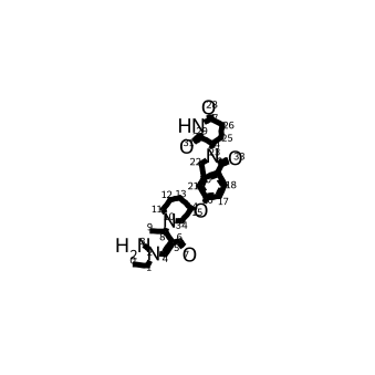 CCN(N)/C=C(/C=O)C(C)N1CCC[C@@H](Oc2ccc3c(c2)CN(C2CCC(=O)NC2=O)C3=O)C1